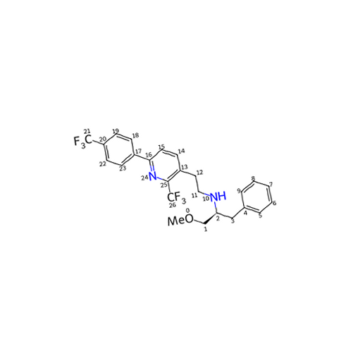 COC[C@H](Cc1ccccc1)NCCc1ccc(-c2ccc(C(F)(F)F)cc2)nc1C(F)(F)F